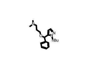 CCCCn1nccc1C(OCCCN(C)C)c1ccccc1